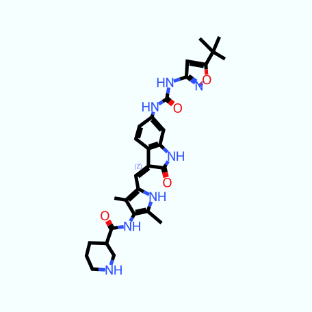 Cc1[nH]c(/C=C2\C(=O)Nc3cc(NC(=O)Nc4cc(C(C)(C)C)on4)ccc32)c(C)c1NC(=O)C1CCCNC1